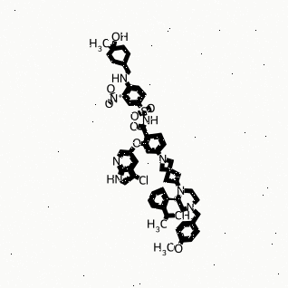 COc1ccc(CN2CCN(C3CC4(C3)CN(c3ccc(C(=O)NS(=O)(=O)c5ccc(NCC6CCC(C)(O)CC6)c([N+](=O)[O-])c5)c(Oc5cnc6[nH]cc(Cl)c6c5)c3)C4)[C@H](c3ccccc3C(C)C)C2)cc1